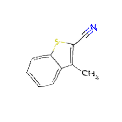 Cc1c(C#N)sc2ccccc12